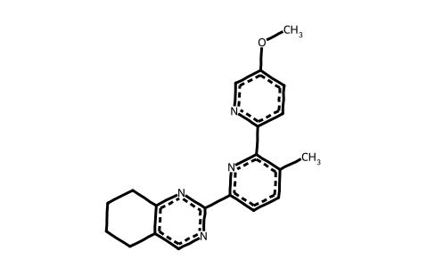 COc1ccc(-c2nc(-c3ncc4c(n3)CCCC4)ccc2C)nc1